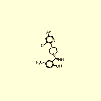 CC(=O)c1cnc(N2CCN(C(=N)c3cc(C(F)(F)F)ccc3O)CC2)c(Cl)c1